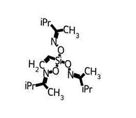 C=C[Si](ON=C(C)C(C)C)(ON=C(C)C(C)C)ON=C(C)C(C)C